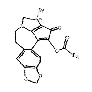 CC(C)(C)C(=O)OC1=C2C3=C(C1=O)[C@@H](S)CN3CCc1cc3c(cc12)OCO3